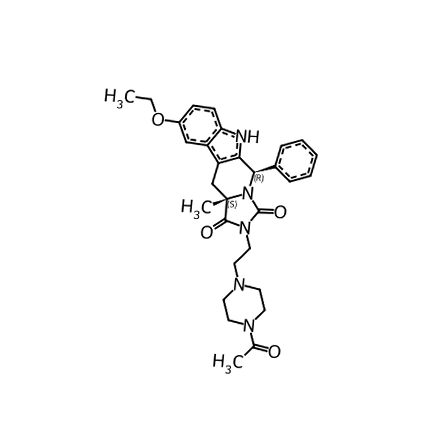 CCOc1ccc2[nH]c3c(c2c1)C[C@@]1(C)C(=O)N(CCN2CCN(C(C)=O)CC2)C(=O)N1[C@@H]3c1ccccc1